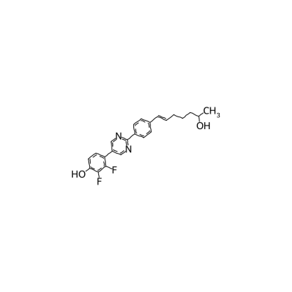 CC(O)CCCC=Cc1ccc(-c2ncc(-c3ccc(O)c(F)c3F)cn2)cc1